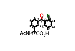 CC(=O)NC(C(=O)O)c1cccc(C(=O)c2ccccc2F)c1